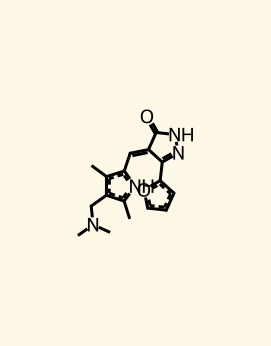 Cc1[nH]c(/C=C2/C(=O)NN=C2c2ccco2)c(C)c1CN(C)C